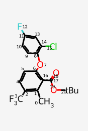 Cc1c(C(F)(F)F)ccc(Oc2ccc(F)cc2Cl)c1C(=O)OC(C)(C)C